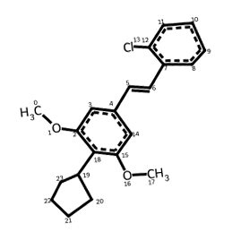 COc1cc(C=Cc2ccccc2Cl)cc(OC)c1C1CCCC1